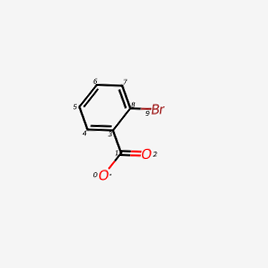 [O]C(=O)c1ccccc1Br